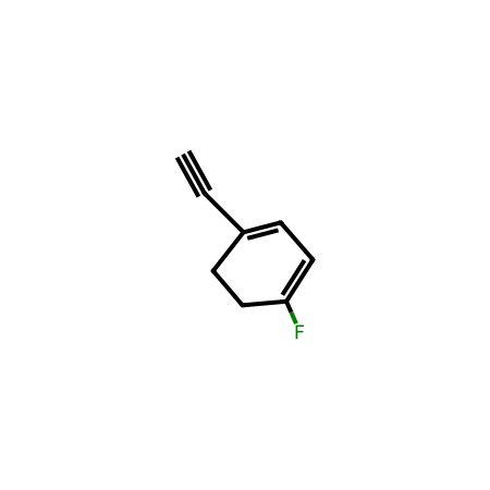 C#CC1=CC=C(F)CC1